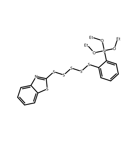 CCO[Si](OCC)(OCC)c1ccccc1SSSSSc1nc2ccccc2s1